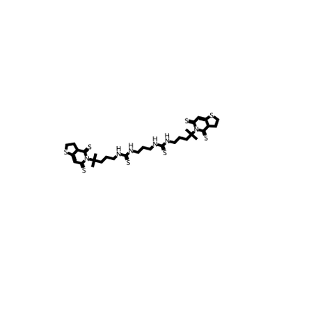 CC(C)(CCCNC(=S)NCCCNC(=S)NCCCC(C)(C)N1C(=S)C=C2SCCC2C1=S)N1C(=S)C=C2SCCC2C1=S